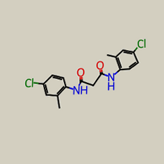 Cc1cc(Cl)ccc1NC(=O)CC(=O)Nc1ccc(Cl)cc1C